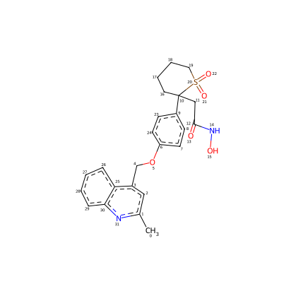 Cc1cc(COc2ccc(C3(CC(=O)NO)CCCCS3(=O)=O)cc2)c2ccccc2n1